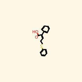 O=C(O)C(=CCCSc1ccccc1)c1ccccc1